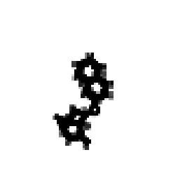 CN1CC2CC23CC(Oc2ccc4cccnc4n2)C13